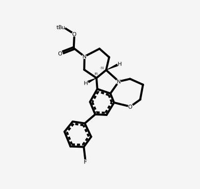 CC(C)(C)OC(=O)N1CC[C@H]2[C@@H](C1)c1cc(-c3cccc(F)c3)cc3c1N2CCCO3